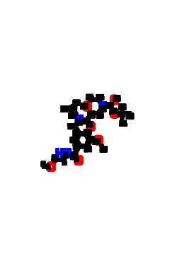 COCCNC(=O)c1cc(CN(C(=O)[C@H]2CN(C(=O)OC(C)(C)C)CCO2)C2CC2)cc(OC)c1